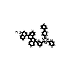 N#Cc1ccc(-c2cc3c4ccccc4c(-c4cccc(-c5nc(-c6ccccc6)nc(-c6ccc(-c7ccccc7)cc6)n5)c4)cc3c3ccccc23)c2ccccc12